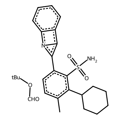 CC(C)(C)OC=O.Cc1ccc(-c2c3c4ccccc4n2-3)c(S(N)(=O)=O)c1C1CCCCC1